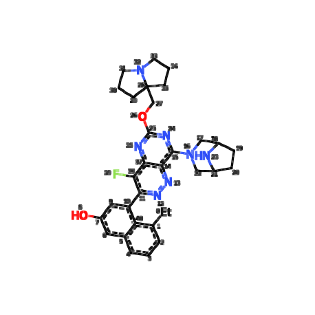 CCc1cccc2cc(O)cc(-c3nnc4c(N5CC6CCC(C5)N6)nc(OCC56CCCN5CCC6)nc4c3F)c12